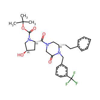 CC(C)(C)OC(=O)N1C[C@H](O)C[C@H]1C(=O)N1CC(=O)N(Cc2cccc(C(F)(F)F)c2)[C@@H](CCc2ccccc2)C1